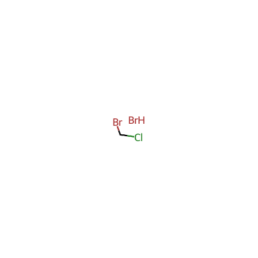 Br.ClCBr